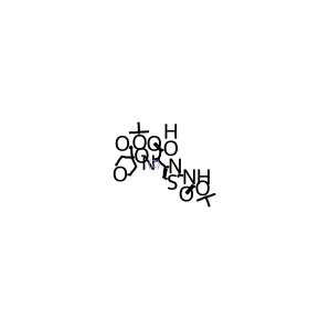 CC(C)(C)OC(=O)Nc1nc(/C(=N/OC2(C(=O)OC(C)(C)C)CCOCC2)C(=O)O)cs1